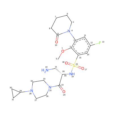 COc1c(N2CCCCC2=O)cc(F)cc1S(=O)(=O)N[C@@H](CN)C(=O)N1CCN(C2CC2)CC1